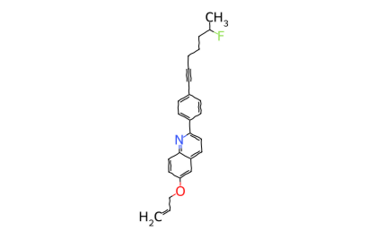 C=CCOc1ccc2nc(-c3ccc(C#CCCCC(C)F)cc3)ccc2c1